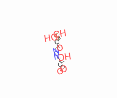 Cc1c([C@@H](O)CN2CCN(CC(=O)c3ccc4c(c3)C=CS4(O)O)CC2)ccc2c1COC2=O